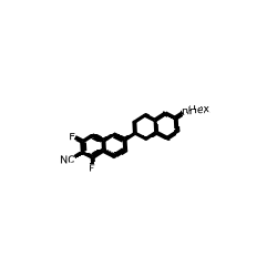 CCCCCCC1CCC2CC(c3ccc4c(F)c(C#N)c(F)cc4c3)CCC2C1